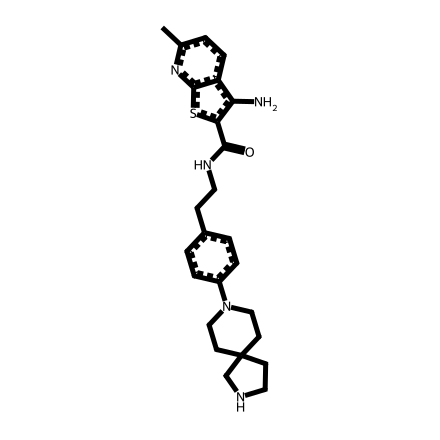 Cc1ccc2c(N)c(C(=O)NCCc3ccc(N4CCC5(CCNC5)CC4)cc3)sc2n1